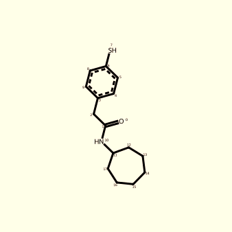 O=C(Cc1ccc(S)cc1)NC1CCCCCC1